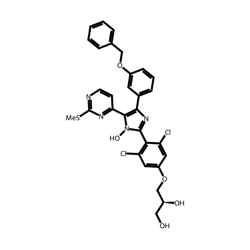 CSc1nccc(-c2c(-c3cccc(OCc4ccccc4)c3)nc(-c3c(Cl)cc(OC[C@@H](O)CO)cc3Cl)n2O)n1